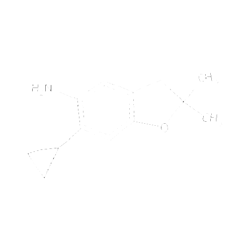 CC1(C)Cc2cc(N)c(C3CC3)cc2O1